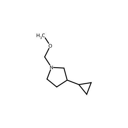 COCN1CCC(C2CC2)C1